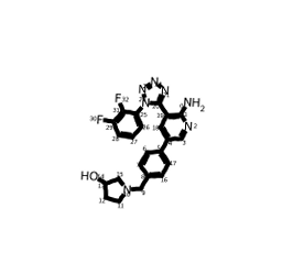 Nc1ncc(-c2ccc(CN3CCC(O)C3)cc2)cc1-c1nnnn1-c1cccc(F)c1F